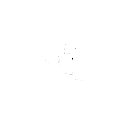 CCC(F)(F)OC[C@@H]1CCCN1C(=O)OC(C)(C)C